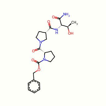 C[C@@H](O)[C@H](NC(=O)[C@H]1CCN(C(=O)[C@@H]2CCCN2C(=O)OCc2ccccc2)C1)C(N)=O